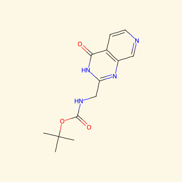 CC(C)(C)OC(=O)NCc1nc2cnccc2c(=O)[nH]1